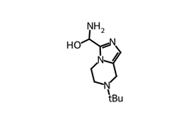 CC(C)(C)N1CCn2c(cnc2C(N)O)C1